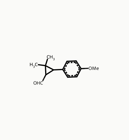 COc1ccc(C2C(C=O)C2(C)C)cc1